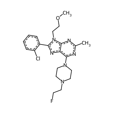 COCCn1c(-c2ccccc2Cl)nc2c(N3CCN(CCF)CC3)nc(C)nc21